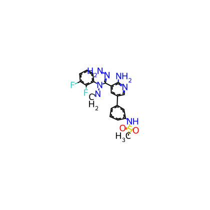 C=NN(/C(=N\N)c1cc(-c2cccc(NS(C)(=O)=O)c2)cnc1N)c1cccc(F)c1F